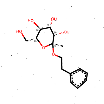 C[C@]1(OCCc2ccccc2)O[C@H](CO)[C@@H](O)[C@H](O)[C@@H]1O